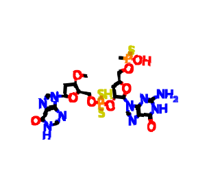 CO[C@H]1C[C@H](n2cnc3c(=O)[nH]cnc32)O[C@@H]1COP(=S)(S)O[C@@H]1C[C@@H](COP(C)(O)=S)O[C@H]1n1cnc2c(=O)[nH]c(N)nc21